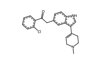 CN1CC=C(c2c[nH]c3ccc(CC(=O)c4ccccc4Cl)cc23)CC1